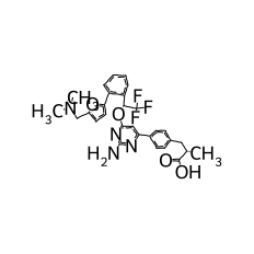 C[C@@H](Cc1ccc(-c2cc(OC(c3ccccc3-c3ccc(CN(C)C)o3)C(F)(F)F)nc(N)n2)cc1)C(=O)O